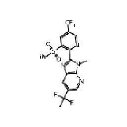 CC(C)S(=O)(=O)c1cc(C(F)(F)F)cnc1-c1nc2cc(C(C)(F)F)cnc2n1C